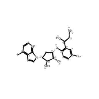 Cc1ccnc2c1ccn2[C@@H]1C[C@H](Oc2ccc(Cl)cc2C(O)CN)[C@@H](O)[C@H]1O